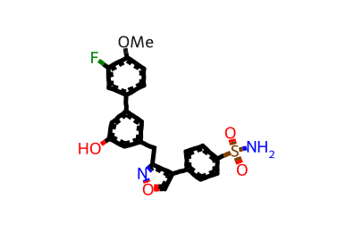 COc1ccc(-c2cc(O)cc(Cc3nocc3-c3ccc(S(N)(=O)=O)cc3)c2)cc1F